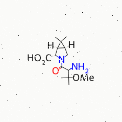 COC(C)(C)[C@H](N)C(=O)N1C[C@H]2[C@@H]([C@H]1C(=O)O)C2(C)C